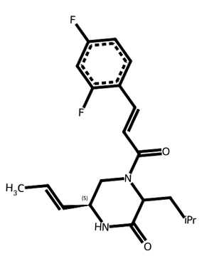 CC=C[C@H]1CN(C(=O)C=Cc2ccc(F)cc2F)C(CC(C)C)C(=O)N1